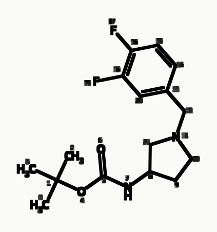 CC(C)(C)OC(=O)NC1CCN(Cc2ccc(F)c(F)c2)C1